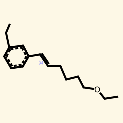 CCOCCCC/C=C/c1cccc(CC)c1